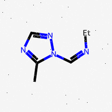 CC/N=C\n1ncnc1C